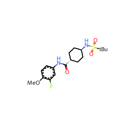 COc1ccc(NC(=O)[C@H]2CC[C@H](NS(=O)(=O)C(C)(C)C)CC2)cc1F